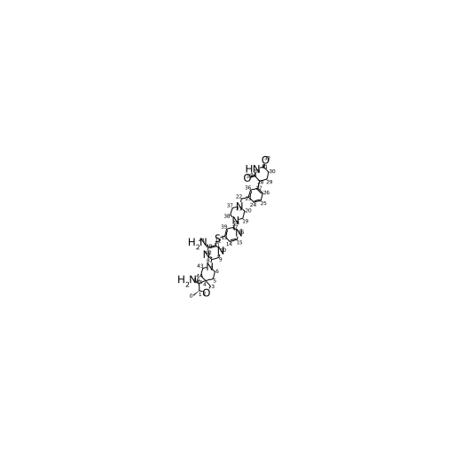 C[C@@H]1OCC2(CCN(c3cnc(Sc4ccnc(N5CCN(Cc6cccc(C7CCC(=O)NC7=O)c6)CC5)c4)c(N)n3)CC2)[C@@H]1N